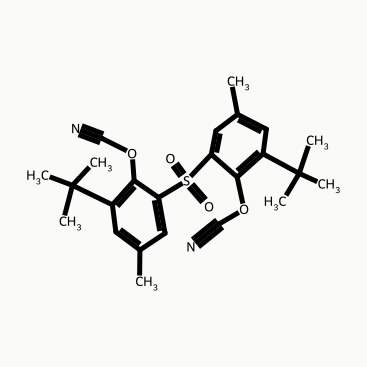 Cc1cc(C(C)(C)C)c(OC#N)c(S(=O)(=O)c2cc(C)cc(C(C)(C)C)c2OC#N)c1